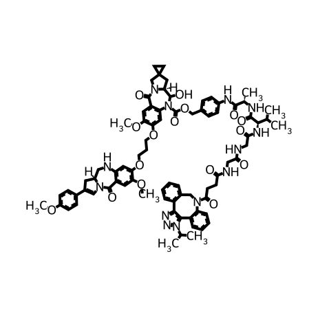 COc1ccc(C2=CN3C(=O)c4cc(OC)c(OCCCOc5cc6c(cc5OC)C(=O)N5CC7(CC7)C[C@H]5C(O)N6C(=O)OCc5ccc(NC(=O)[C@H](C)NC(=O)[C@H](NC(=O)CNC(=O)CNC(=O)CCC(=O)N6Cc7ccccc7-c7nnn(C(C)C)c7-c7ccccc76)C(C)C)cc5)cc4NC[C@@H]3C2)cc1